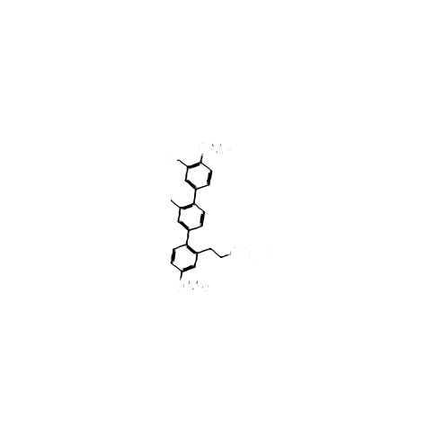 COc1ccc(-c2ccc(-c3ccc(OC)c(Cl)c3)c(C)c2)c(CCC(=O)O)c1